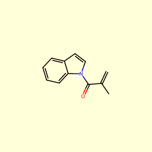 C=C(C)C(=O)n1ccc2ccccc21